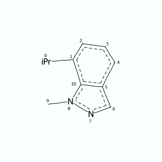 CC(C)c1cccc2cnn(C)c12